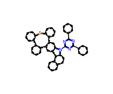 c1ccc(-c2nc(-c3ccccc3)nc(-n3c4cc5c6ccccc6sc6ccccc6c6ccccc6c5cc4c4c5ccccc5ccc43)n2)cc1